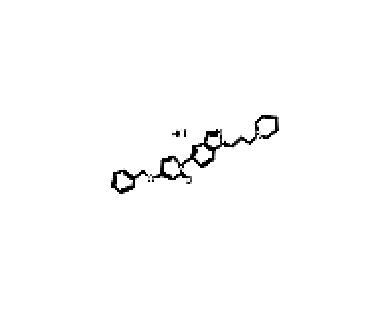 Cl.O=c1cc(OCc2ccccc2)ccn1-c1ccc2c(cnn2CCCN2CCCCC2)c1